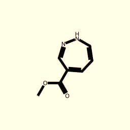 COC(=O)C1=CC=CNN=C1